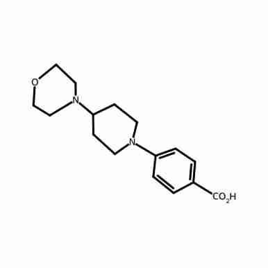 O=C(O)c1ccc(N2CCC(N3CCOCC3)CC2)cc1